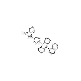 Nc1ccccc1Nc1ccc(-c2c3ccccc3c(-c3cccc4ccccc34)c3ccccc23)cc1